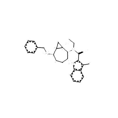 CCN(C(=O)c1[nH]c2ccccc2c1C)[C@H]1CCC[C@@H](NCc2ccccc2)C2C[C@H]21